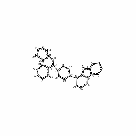 c1ccc2c(c1)oc1c(-c3ccc(-c4cc5nccnc5c5nccnc45)cc3)cccc12